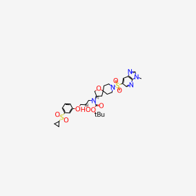 Cn1cnc2cc(S(=O)(=O)N3CCC4(CC3)C[C@@H](N(C[C@H](O)COc3cccc(S(=O)(=O)C5CC5)c3)C(=O)OC(C)(C)C)CO4)cnc21